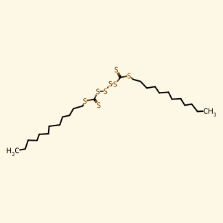 CCCCCCCCCCCCSC(=S)SSSSC(=S)SCCCCCCCCCCCC